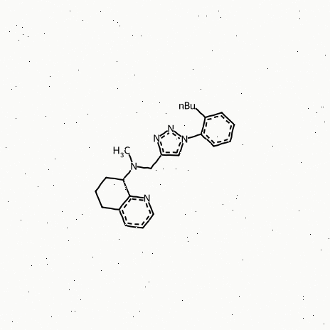 CCCCc1ccccc1-n1cc(CN(C)C2CCCc3cccnc32)nn1